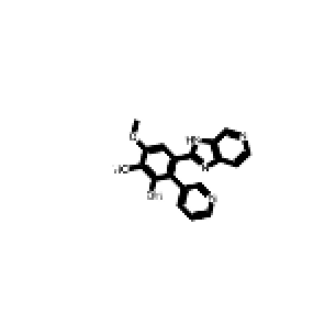 COc1cc(-c2nc3ccncc3[nH]2)c(-c2cccnc2)c(O)c1O